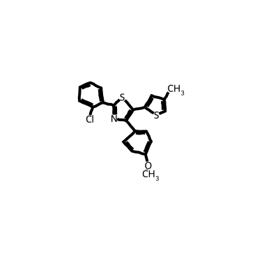 COc1ccc(-c2nc(-c3ccccc3Cl)sc2-c2cc(C)cs2)cc1